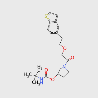 CC(C)(C)NC(=O)OC1CCN(C(=O)COCCc2ccc3sccc3c2)C1